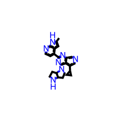 Cc1cc2c(-c3nc(N4CCC5NCCC54)c4c(C5CC5)cncc4n3)ccnc2[nH]1